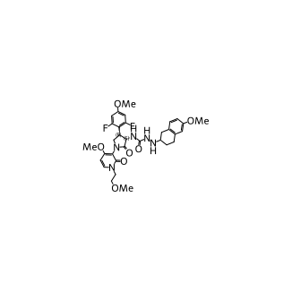 COCCn1ccc(OC)c(N2C[C@@H](c3c(F)cc(OC)cc3F)[C@H](NC(=O)NNC3CCc4cc(OC)ccc4C3)C2=O)c1=O